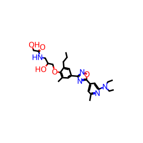 CCCc1cc(-c2noc(-c3cc(C)nc(N(CC)CC)c3)n2)cc(C)c1OCC(O)CNC(=O)CO